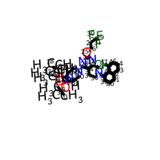 CC(C)(C)OC(=O)N1[C@@H]2C[C@@H](O[Si](C)(C)C(C)(C)C)[C@H]1CN(c1nc(OCCC(F)(F)F)nc3c1CCN(c1cccc4cccc(Cl)c14)C3)C2